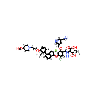 Cc1c(OCCCN2CCC(O)CC2)cccc1-c1cccc2c1C[C@H](F)[C@@H]2Oc1cc(OCc2cncc(C#N)c2)c(CN[C@H](C(=O)O)[C@@H](C)O)cc1Cl